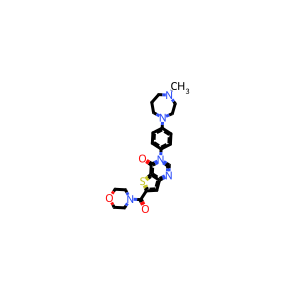 CN1CCCN(c2ccc(-n3cnc4cc(C(=O)N5CCOCC5)sc4c3=O)cc2)CC1